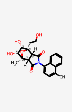 C[C@]12O[C@](CCO)([C@@H]3C(=O)N(c4ccc(C#N)c5ccccc45)C(=O)[C@@H]31)[C@@H](O)[C@H]2O